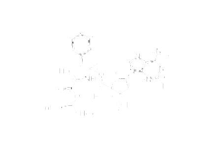 CCCCCCC(CCCCCC)OC(=O)C(C)NP(=O)(OC[C@@]1(C)O[C@@H](n2cnc3c(N)nc(F)nc32)C[C@@H]1O)Oc1ccccc1